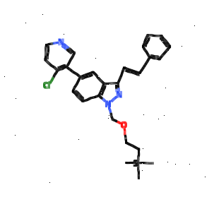 C[Si](C)(C)CCOCn1nc(C=Cc2ccccc2)c2cc(-c3cnccc3Cl)ccc21